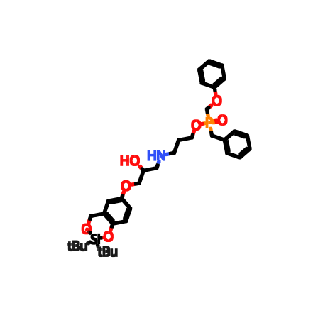 CC(C)(C)[Si]1(C(C)(C)C)OCc2cc(OCC(O)CNCCCOP(=O)(COc3ccccc3)Cc3ccccc3)ccc2O1